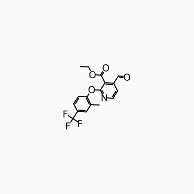 CCOC(=O)c1c(C=O)ccnc1Oc1ccc(C(F)(F)F)cc1C